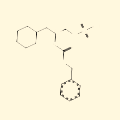 CS(=O)(=O)OC[C@H](CC1CCCCC1)NC(=O)OCc1ccccc1